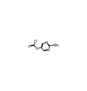 CC(C)(C)c1ncc(SC(=O)Cl)cn1